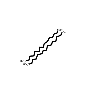 CCCCCCCCCCCCCCCCCCCCCCCC(=O)O.CCCCCCCCCCCCCCCCCCCCCCCC(=O)O